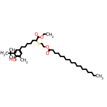 CCCCCCCCCCCCCCCCCC(=O)OCCSC(CCCCCc1cc(C)c(O)c(C(C)(C)C)c1)C(=O)OCC